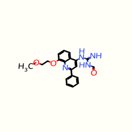 COCCOc1cccc2c(NC(=N)NC=O)cc(-c3ccccc3)nc12